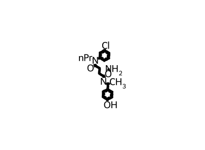 CCCN(C(=O)CC/C(=N/C(C)c1ccc(O)cc1)ON)c1cccc(Cl)c1